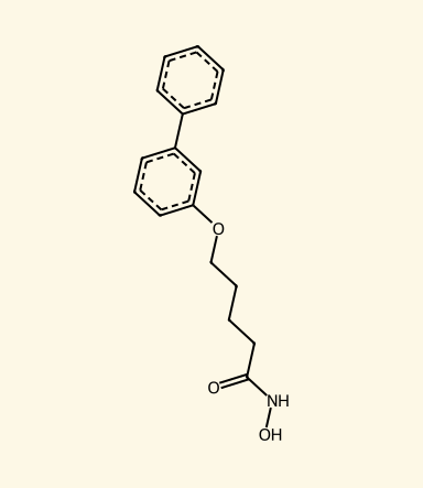 O=C(CCCCOc1cccc(-c2ccccc2)c1)NO